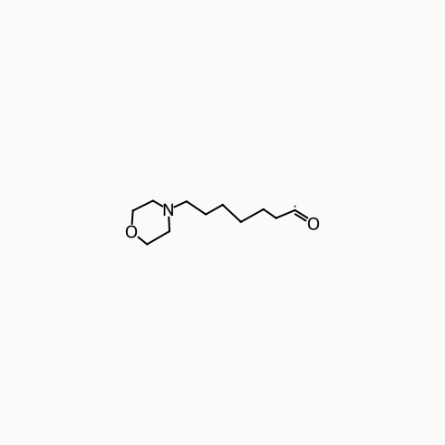 O=[C]CCCCCCN1CCOCC1